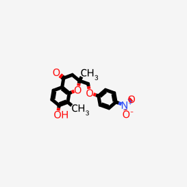 Cc1c(O)ccc2c1OC(C)(COc1ccc([N+](=O)[O-])cc1)CC2=O